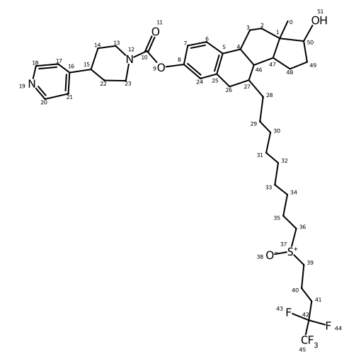 CC12CCC3c4ccc(OC(=O)N5CCC(c6ccncc6)CC5)cc4CC(CCCCCCCCC[S+]([O-])CCCC(F)(F)C(F)(F)F)C3C1CCC2O